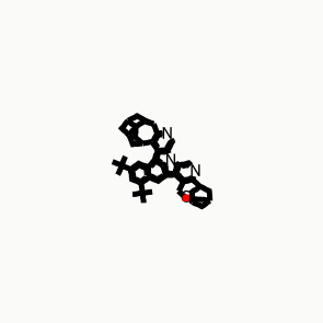 CC(C)(C)c1cc(C(C)(C)C)c2cc3c4c5c(ncc4n4c6cnc7c(c6c(c2c1)c34)C1CC2CC3CC7CC32C1)C1CC2CC(C1)CC5C2